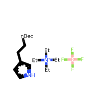 CCCCCCCCCCCCc1cc[nH]c1.CC[N+](CC)(CC)CC.F[B-](F)(F)F